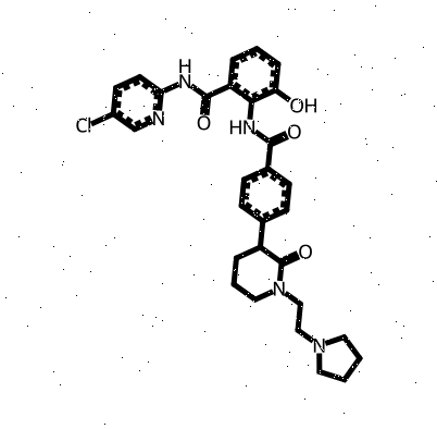 O=C(Nc1c(O)cccc1C(=O)Nc1ccc(Cl)cn1)c1ccc(C2CCCN(CCN3CCCC3)C2=O)cc1